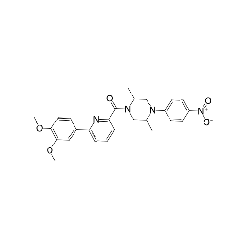 COc1ccc(-c2cccc(C(=O)N3CC(C)N(c4ccc([N+](=O)[O-])cc4)CC3C)n2)cc1OC